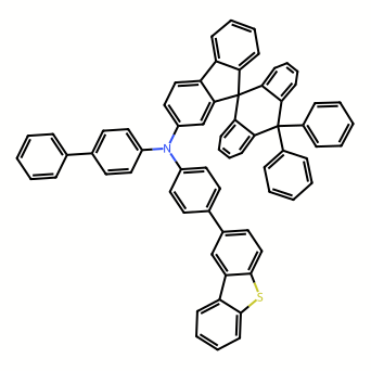 c1ccc(-c2ccc(N(c3ccc(-c4ccc5sc6ccccc6c5c4)cc3)c3ccc4c(c3)C3(c5ccccc5-4)c4ccccc4C(c4ccccc4)(c4ccccc4)c4ccccc43)cc2)cc1